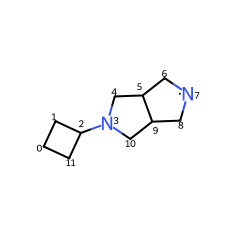 C1CC(N2CC3C[N]CC3C2)C1